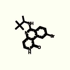 CC(Nc1nc2cc[nH]c(=O)c2c2cc(Br)ccc12)C(C)(C)C